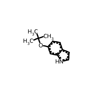 CC(C)(C)Oc1ccc2cc[nH]c2c1